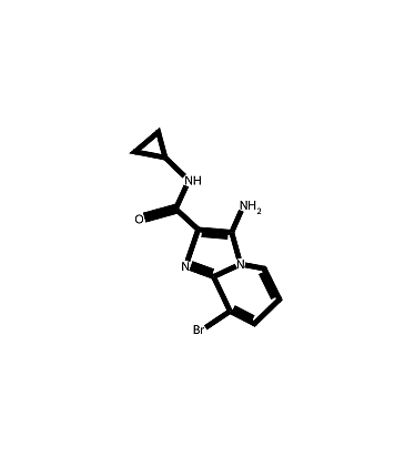 Nc1c(C(=O)NC2CC2)nc2c(Br)cccn12